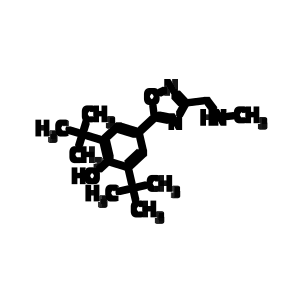 CNCc1noc(-c2cc(C(C)(C)C)c(O)c(C(C)(C)C)c2)n1